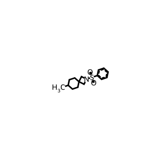 CC1CCC2(CC1)CN(S(=O)(=O)c1ccccc1)C2